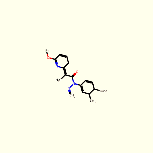 C=NN(C(=O)/C(C)=C1\CC=CC(OCC)=N1)C1=CC(C)C(OC)C=C1